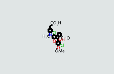 COCOc1cc2c(cc1Cl)C(O)(c1ccccc1C=O)c1cc(Cl)c(N(C)c3ccc(CCC(=O)O)cc3)cc1O2